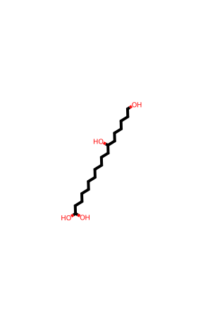 OCCCCCCC(O)CCCCCCCCCCC(O)O